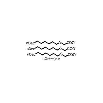 CCCCCCCCCCCCCCCCSCC(=O)[O-].CCCCCCCCCCCCCCCCSCC(=O)[O-].CCCCCCCCCCCCCCCCSCC(=O)[O-].CCCCCCC[CH2][Sn+3]